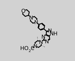 C[C@@H]1CN(C(=O)O)C[C@H](C)N1c1ncc2[nH]nc(-c3ccc(N4CCN(C5CCOCC5)CC4)cc3)c2n1